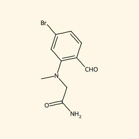 CN(CC(N)=O)c1cc(Br)ccc1C=O